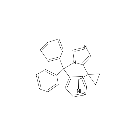 NCC1(c2cncn2C(c2ccccc2)(c2ccccc2)c2ccccc2)CC1